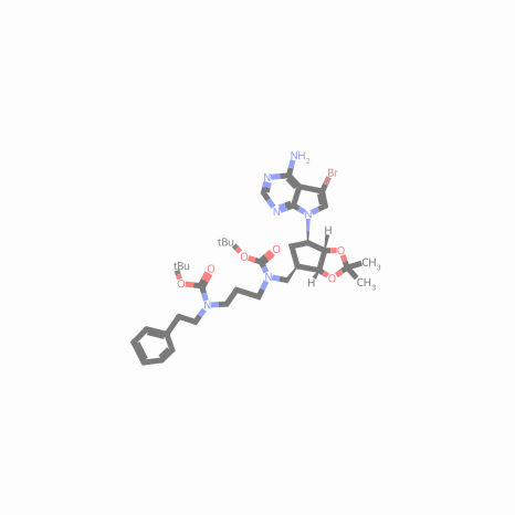 CC(C)(C)OC(=O)N(CCCN(C[C@H]1C[C@@H](n2cc(Br)c3c(N)ncnc32)[C@@H]2OC(C)(C)O[C@H]12)C(=O)OC(C)(C)C)CCc1ccccc1